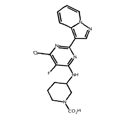 O=C(O)N1CCCC(Nc2nc(-c3cnn4ccccc34)nc(Cl)c2F)C1